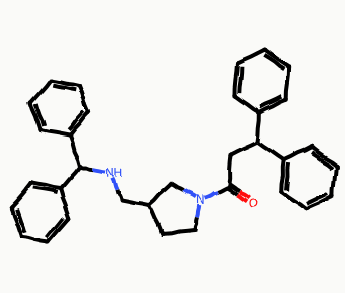 O=C(CC(c1ccccc1)c1ccccc1)N1CCC(CNC(c2ccccc2)c2ccccc2)C1